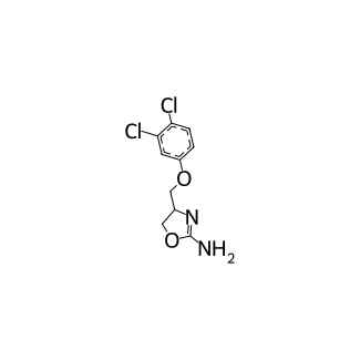 NC1=NC(COc2ccc(Cl)c(Cl)c2)CO1